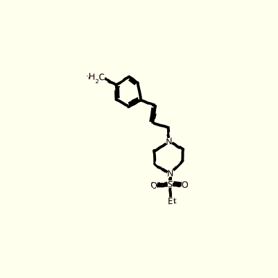 [CH2]c1ccc(/C=C/CN2CCN(S(=O)(=O)CC)CC2)cc1